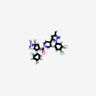 Cc1cc(C2CCN(C(=O)[C@@H]3C[C@@](C)(N(C)C)C[C@H]3c3ccc(F)cc3F)CC2)n(-c2ccc(Cl)c(Cl)c2)n1